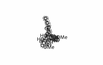 COc1cccc2c1C(=N)c1c(O)c3c(c(O)c1C2=O)C[C@@](O)(C(=O)CN(C)C1CCN(C(=O)OC(C)(C)c2ccc(-c4ccccc4)cc2)CC1)C[C@@H]3O[C@H]1C[C@H]2[C@H](O[C@@H]3[C@@H](OC)OCCN32)[C@H](C)O1